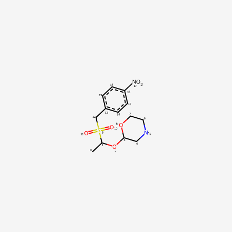 CC(OC1C[N]CCO1)S(=O)(=O)Cc1ccc([N+](=O)[O-])cc1